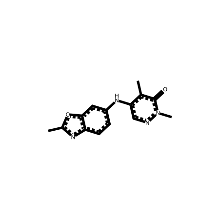 Cc1nc2ccc(Nc3cnn(C)c(=O)c3C)cc2o1